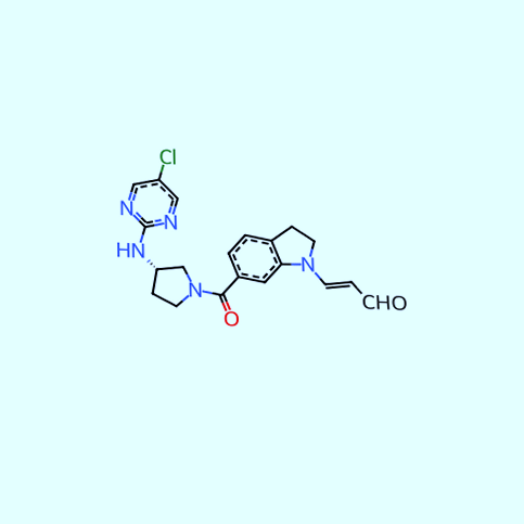 O=CC=CN1CCc2ccc(C(=O)N3CC[C@H](Nc4ncc(Cl)cn4)C3)cc21